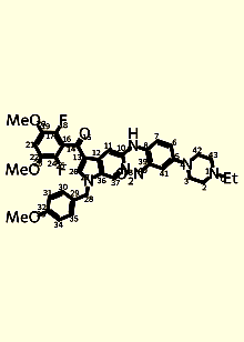 CCN1CCN(c2ccc(Nc3cc4c(C(=O)c5c(F)c(OC)cc(OC)c5F)cn(Cc5ccc(OC)cc5)c4cn3)c([N+](=O)[O-])c2)CC1